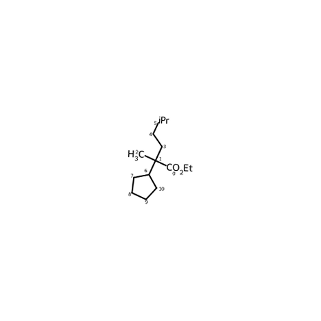 CCOC(=O)C(C)(CCC(C)C)C1CCCC1